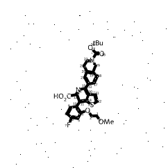 COCCOc1cc(F)ccc1-c1c(C(=O)O)nc(-c2ccc3c(c2)CCN(C(=O)OC(C)(C)C)C3)c2ccsc12